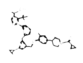 Cc1cc(C2CCN(C(=O)C3CC3)CC2)ccc1OCc1cc(C2CC2)sc1-c1cccc(-n2ncc(C(=O)O)c2C(F)(F)F)n1